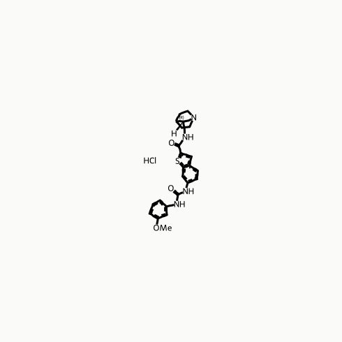 COc1cccc(NC(=O)Nc2ccc3cc(C(=O)N[C@H]4CN5CCC4CC5)sc3c2)c1.Cl